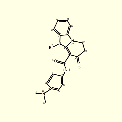 CCN1C2=C(C(=O)Nc3ccc(N(C)C)cc3)C(=O)CCN2c2ccccc21